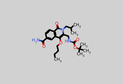 CCCCOc1c(CNC(=O)OC(C)(C)C)n(CC(C)C)c(=O)c2ccc(C(N)=O)cc12